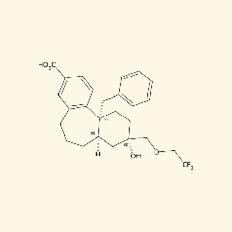 O=C(O)c1ccc2c(c1)CCC[C@@H]1C[C@](O)(COCC(F)(F)F)CC[C@]21Cc1ccccc1